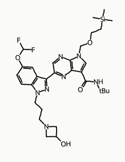 CC(C)(C)NC(=O)c1cn(COCC[Si](C)(C)C)c2ncc(-c3nn(CCCN4CC(O)C4)c4ccc(OC(F)F)cc34)nc12